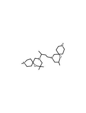 CC1CN(CCC(C)N2CC(C)(C)OC3(CCN(C)CC3)C2)CC2(CCN(C)CC2)O1